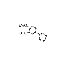 COc1ccc(-c2ccccc2)cc1C=O